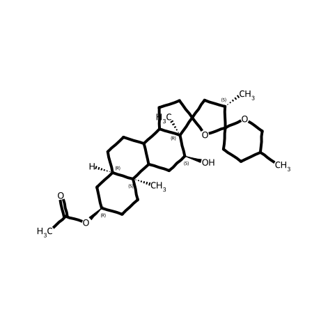 CC(=O)O[C@@H]1CC[C@]2(C)C3C[C@H](O)[C@@]4(C)C(CCC45C[C@H](C)C4(CCC(C)CO4)O5)C3CC[C@@H]2C1